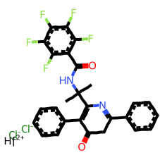 CC(C)(NC(=O)c1c(F)c(F)c(F)c(F)c1F)C1=C(c2ccccc2)C(=O)CC(c2ccccc2)=N1.[Cl-].[Cl-].[Hf+2]